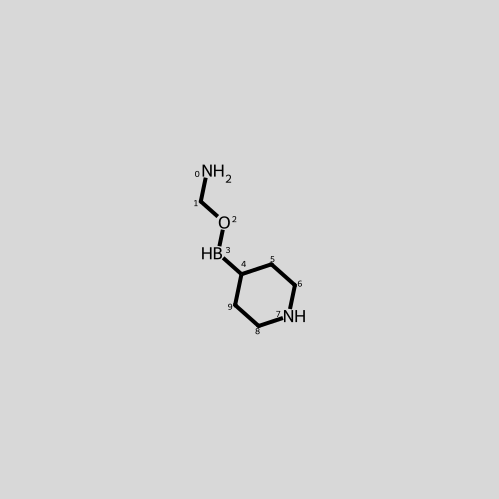 NCOBC1CCNCC1